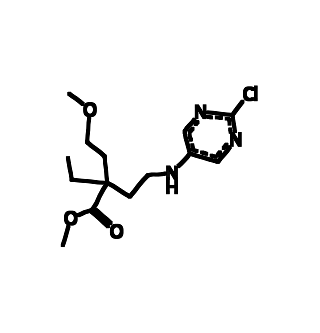 CCC(CCNc1cnc(Cl)nc1)(CCOC)C(=O)OC